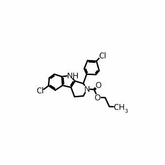 CCCOC(=O)N1CCc2c([nH]c3ccc(Cl)cc23)C1c1ccc(Cl)cc1